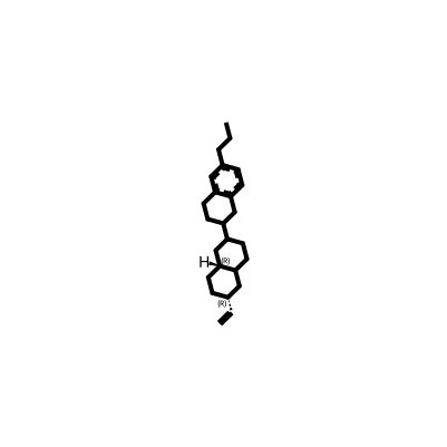 C=C[C@@H]1CC[C@@H]2CC(C3CCc4cc(CCC)ccc4C3)CCC2C1